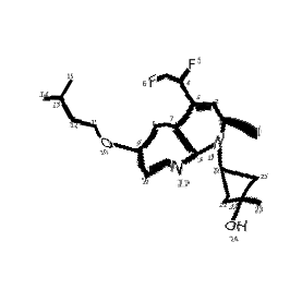 C=C1C=C(C(F)F)c2cc(OCCC(C)C)cnc2N1C1CC(C)(O)C1